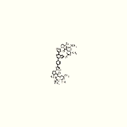 COC(=O)N[C@H](C(=O)N1[C@@H](C)CC[C@H]1c1nc(-c2ccc(-c3cnc(-c4c[nH]c([C@@H]5CC[C@H](C)N5C(=O)[C@@H](NC(=O)OC)[C@H]5C[C@@H](C)O[C@@H](C)C5)n4)c4cccn34)cc2)c[nH]1)[C@H]1C[C@@H](C)O[C@@H](C)C1